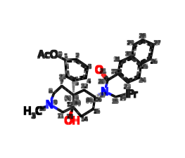 CC(=O)Oc1cccc([C@@]23CCN(C)C[C@@]2(O)CC[C@@H](N(CC(C)C)C(=O)c2ccc4ccccc4c2)C3)c1